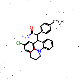 NC(=O)C(c1ccc(C(=O)O)cc1)C(c1cccc(Cl)c1)c1ccccc1N1CCCCC1